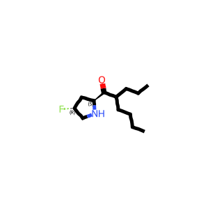 CCCCC(CCC)C(=O)[C@@H]1C[C@@H](F)CN1